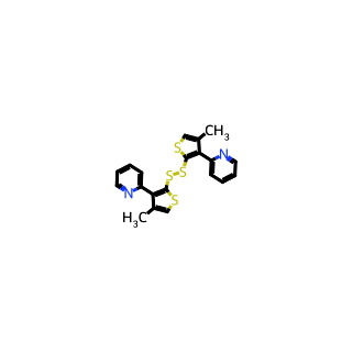 Cc1csc(SSc2scc(C)c2-c2ccccn2)c1-c1ccccn1